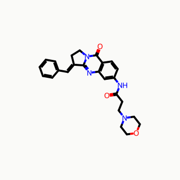 O=C(CCN1CCOCC1)Nc1ccc2c(=O)n3c(nc2c1)C(=Cc1ccccc1)CC3